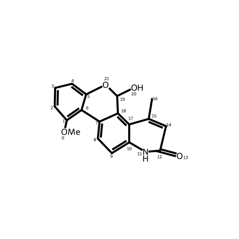 COc1cccc2c1-c1ccc3[nH]c(=O)cc(C)c3c1C(O)O2